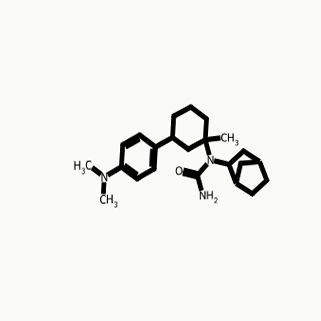 CN(C)c1ccc(C2CCCC(C)(N(C(N)=O)C3CC4CCC3C4)C2)cc1